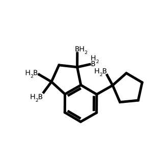 BC1(B)CC(B)(B)c2c1cccc2C1(B)CCCC1